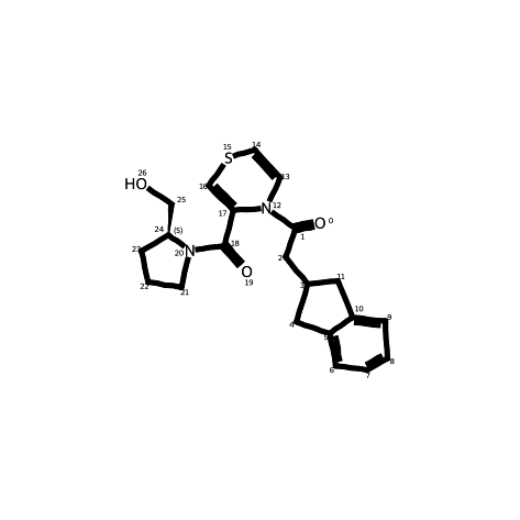 O=C(CC1Cc2ccccc2C1)N1C=CSC=C1C(=O)N1CCC[C@H]1CO